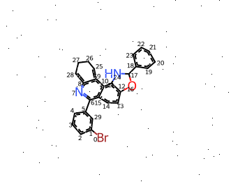 Brc1cccc(-c2nc3c(c4c5c(ccc24)OC(c2ccccc2)N5)=CCCC=3)c1